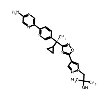 CC(C)(O)Cn1cc(-c2nc([C@](C)(c3ccc(-c4cnc(N)cn4)nc3)C3CC3)no2)cn1